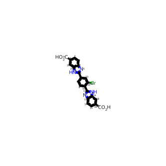 O=C(O)c1ccc2nc(-c3ccc(-c4nc5ccc(C(=O)O)cc5[nH]4)c(Br)c3)[nH]c2c1